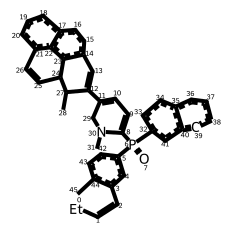 CC/C=C\c1cc(P(=O)(C2=CC=C(C3=Cc4ccc5cccc6c5c4C(C=C6)C3C)CN2C)c2ccc3ccccc3c2)ccc1C